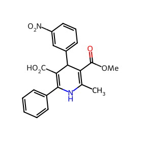 COC(=O)C1=C(C)NC(c2ccccc2)=C(C(=O)O)C1c1cccc([N+](=O)[O-])c1